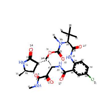 CNC(=O)C(=O)[C@H](C[C@@H]1C[C@@H](C)NC1=O)NC(=O)c1cc(Cl)ccc1NC(=O)[C@@H](N(C)C(=O)OC)C(C)(C)C